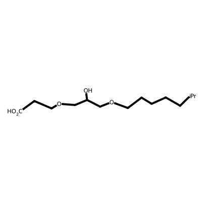 CC(C)CCCCCOCC(O)COCCC(=O)O